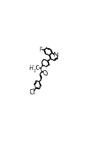 CC(C(=O)C=Cc1ccc(Cl)cc1)C1CCC(c2ccnc3ccc(F)cc23)CC1